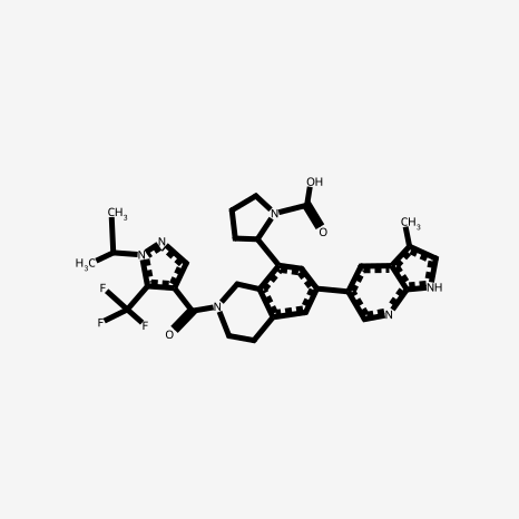 Cc1c[nH]c2ncc(-c3cc4c(c(C5CCCN5C(=O)O)c3)CN(C(=O)c3cnn(C(C)C)c3C(F)(F)F)CC4)cc12